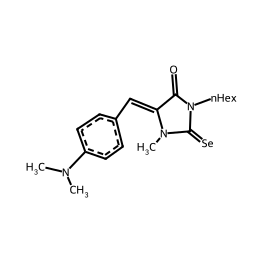 CCCCCCN1C(=O)C(=Cc2ccc(N(C)C)cc2)N(C)C1=[Se]